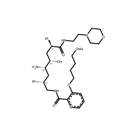 COCCCCOc1cccnc1C(=O)NC[C@@H](C[C@H](N)[C@@H](O)C[C@H](C(=O)NCCN1CCOCC1)C(C)C)C(C)C